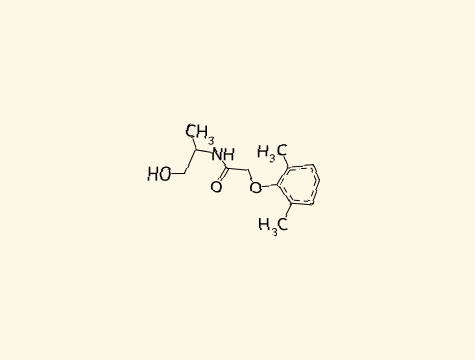 Cc1cccc(C)c1OCC(=O)NC(C)CO